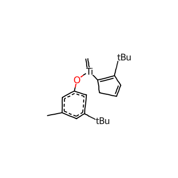 [CH2]=[Ti]([O]c1cc(C)cc(C(C)(C)C)c1)[C]1=C(C(C)(C)C)C=CC1